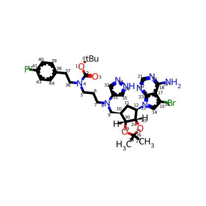 CC(C)(C)OC(=O)N(CCCN(C[C@H]1C[C@@H](n2cc(Br)c3c(N)ncnc32)[C@@H]2OC(C)(C)O[C@H]12)c1cn[nH]c1)CCc1ccc(F)cc1